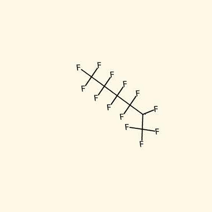 F[C](C(F)(F)F)C(F)(F)C(F)(F)C(F)(F)C(F)(F)F